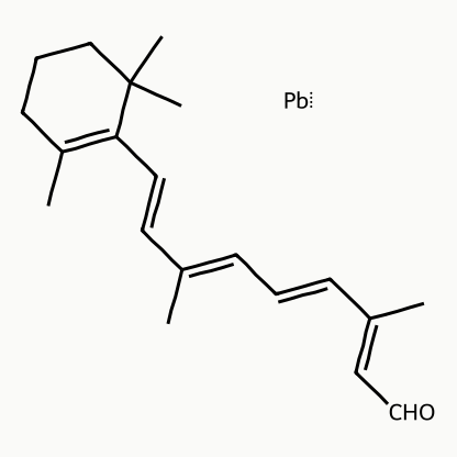 CC(C=CC=C(C)C=CC1=C(C)CCCC1(C)C)=CC=O.[Pb]